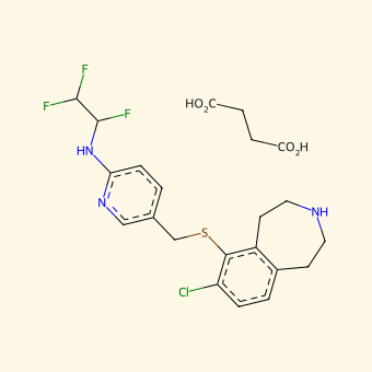 FC(F)C(F)Nc1ccc(CSc2c(Cl)ccc3c2CCNCC3)cn1.O=C(O)CCC(=O)O